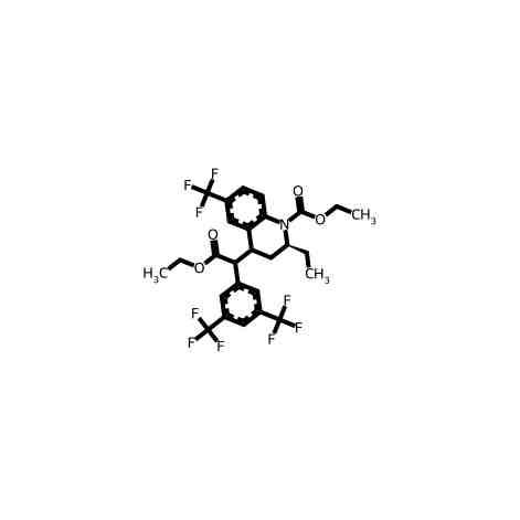 CCOC(=O)C(c1cc(C(F)(F)F)cc(C(F)(F)F)c1)C1C[C@H](CC)N(C(=O)OCC)c2ccc(C(F)(F)F)cc21